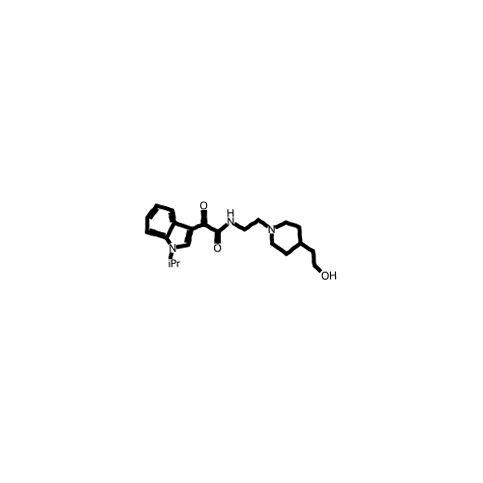 CC(C)n1cc(C(=O)C(=O)NCCN2CCC(CCO)CC2)c2ccccc21